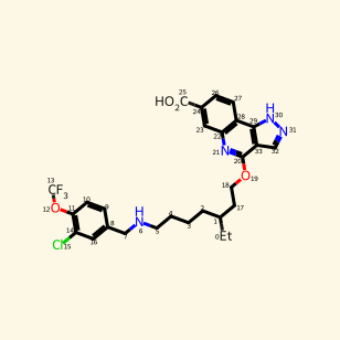 CCC(CCCCNCc1ccc(OC(F)(F)F)c(Cl)c1)CCOc1nc2cc(C(=O)O)ccc2c2[nH]ncc12